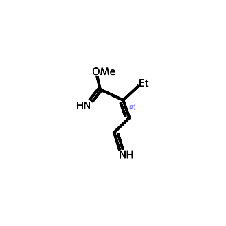 CC/C(=C/C=N)C(=N)OC